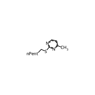 CCCCCCSc1nccc(C)n1